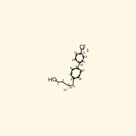 C[C@H](CCO)Cc1ccc(-c2ccc(C(F)(F)F)cc2)cc1